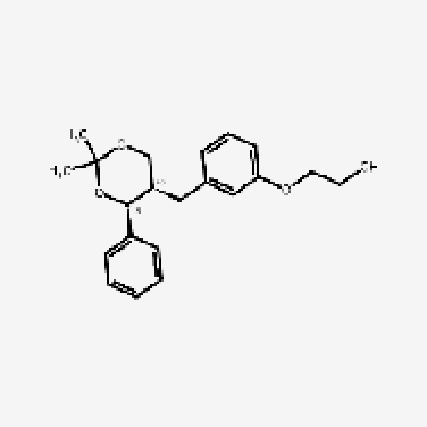 CC1(C)OC[C@@H](Cc2cccc(OCCO)c2)[C@@H](c2ccccc2)O1